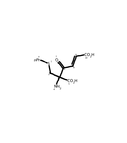 CCCSCC(N)(C(=O)O)C(=O)C=CC(=O)O